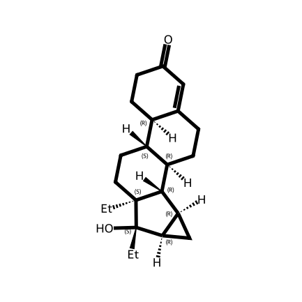 CC[C@]12CC[C@H]3[C@@H](CCC4=CC(=O)CC[C@@H]43)[C@@H]1[C@H]1C[C@H]1[C@@]2(O)CC